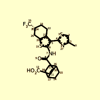 Cc1csc(-c2c(NC(=O)C3=C(C(=O)O)C4CCC3CC4)sc3c2CC[C@@H](C(F)(F)F)C3)n1